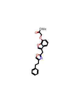 COC(=O)COc1cccc2c(Cc3nc(CCc4ccccc4)co3)coc12